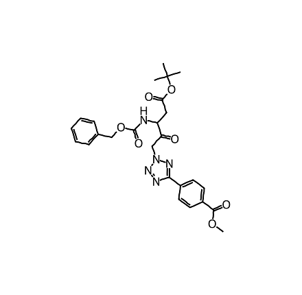 COC(=O)c1ccc(-c2nnn(CC(=O)C(CC(=O)OC(C)(C)C)NC(=O)OCc3ccccc3)n2)cc1